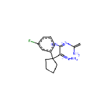 C=C(N)/N=C(N)\C(=N/N)C1(c2cccc(F)c2)CCCC1